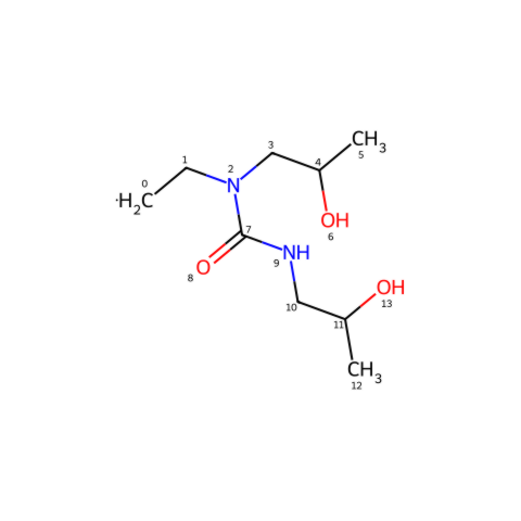 [CH2]CN(CC(C)O)C(=O)NCC(C)O